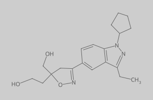 CCc1nn(C2CCCC2)c2ccc(C3=NOC(CO)(CCO)C3)cc12